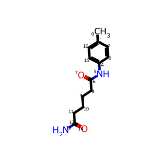 Cc1ccc(NC(=O)CCCCC(N)=O)cc1